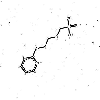 O=P(O)(O)COCCOc1ncccn1